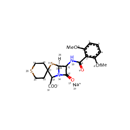 COc1cccc(OC)c1C(=O)NC1C(=O)N2C(C(=O)[O-])C3(CCSCC3)S[C@@H]12.[Na+]